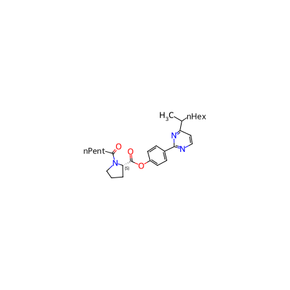 CCCCCCC(C)c1ccnc(-c2ccc(OC(=O)[C@@H]3CCCN3C(=O)CCCCC)cc2)n1